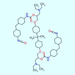 CCN(CC)CC(COC1CCC(C(C)(C)C2CCC(OCC(CN(CC)CC)OC(=O)NC3CCC(CC4CCC(N=C=O)CC4)CC3)CC2)CC1)OC(=O)NC1CCC(CC2CCC(N=C=O)CC2)CC1